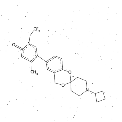 Cc1cc(=O)n(CC(F)(F)F)cc1-c1ccc2c(c1)COC1(CCN(C3CCC3)CC1)O2